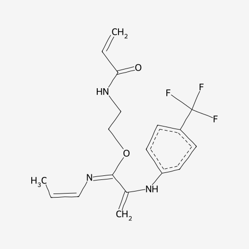 C=CC(=O)NCCO/C(=N/C=C\C)C(=C)Nc1ccc(C(F)(F)F)cc1